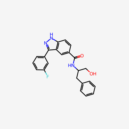 O=C(NC(CO)Cc1ccccc1)c1ccc2[nH]nc(-c3cccc(F)c3)c2c1